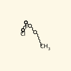 CCCCCCCCCC1CCC(CCC2CCC(c3ccccc3CCc3ccc(Cl)cc3)C(F)C2)CC1